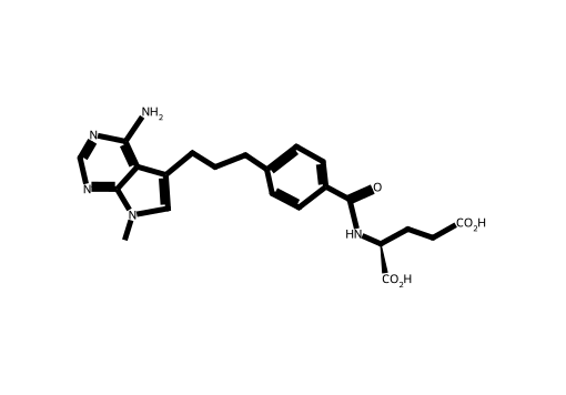 Cn1cc(CCCc2ccc(C(=O)N[C@@H](CCC(=O)O)C(=O)O)cc2)c2c(N)ncnc21